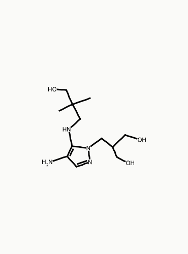 CC(C)(CO)CNc1c(N)cnn1CC(CO)CO